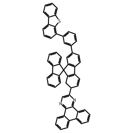 C1=CC(c2cnc3c4ccccc4c4ccccc4c3n2)CC2=C1c1ccc(-c3cccc(-c4cccc5c4sc4ccccc45)c3)cc1C21c2ccccc2-c2ccccc21